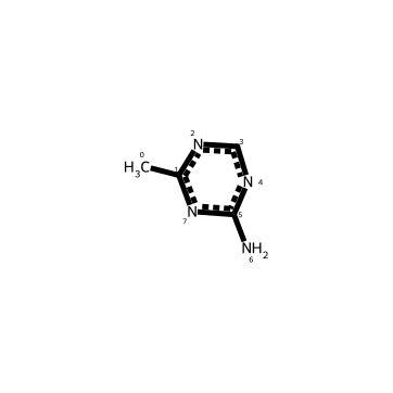 Cc1ncnc(N)n1